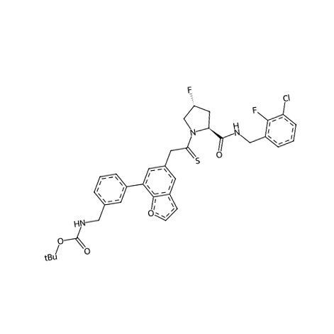 CC(C)(C)OC(=O)NCc1cccc(-c2cc(CC(=S)N3C[C@H](F)C[C@H]3C(=O)NCc3cccc(Cl)c3F)cc3ccoc23)c1